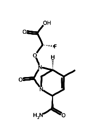 CC1=C[C@@H](C(N)=O)N2C[C@H]1N(O[C@@H](F)C(=O)O)C2=O